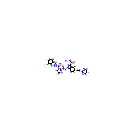 NC(=O)c1nn(CC(=O)N2C[C@H](F)C[C@H]2C(=O)NCc2cccc(Cl)c2F)c2ccc(C#Cc3ncccn3)cc12